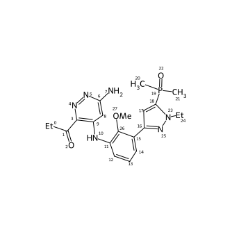 CCC(=O)c1nnc(N)cc1Nc1cccc(-c2cc(P(C)(C)=O)n(CC)n2)c1OC